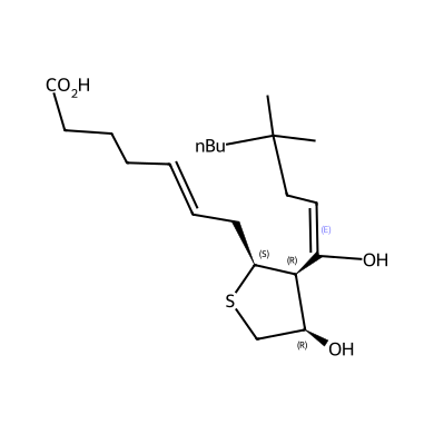 CCCCC(C)(C)C/C=C(/O)[C@@H]1[C@H](CC=CCCCC(=O)O)SC[C@@H]1O